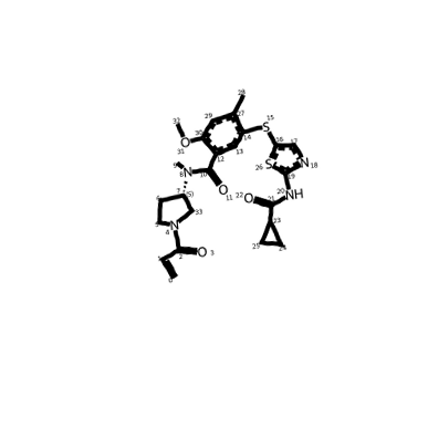 C=CC(=O)N1CC[C@H](N(C)C(=O)c2cc(Sc3cnc(NC(=O)C4CC4)s3)c(C)cc2OC)C1